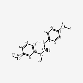 COc1ccc([C@@H](C)N[C@@H](C)c2cccc(OC)c2)cc1